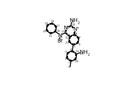 Cc1ccc(-c2ccc3nc(N)nc(N(Br)c4ccccc4)c3c2)c(N)c1